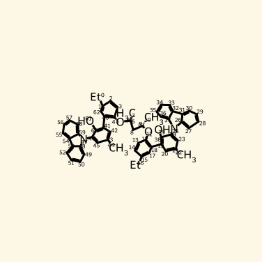 CCc1ccc(O[C@@H](C)C[C@H](C)Oc2ccc(CC)cc2-c2cc(C)cc(-n3c4ccccc4c4ccccc43)c2O)c(-c2cc(C)cc(-n3c4ccccc4c4ccccc43)c2O)c1